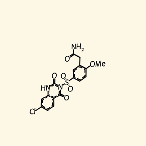 COc1ccc(S(=O)(=O)n2c(=O)[nH]c3cc(Cl)ccc3c2=O)cc1CC(N)=O